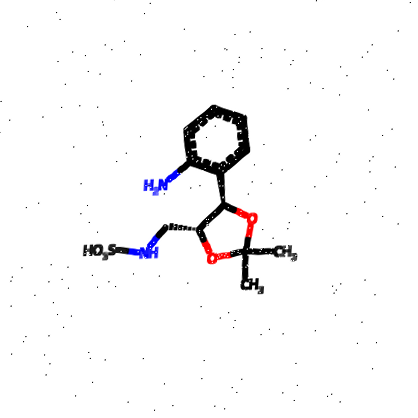 CC1(C)O[C@H](c2ccccc2N)[C@@H](CNS(=O)(=O)O)O1